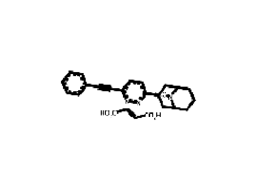 CN1C2CCCC1CC(c1ccc(C#Cc3ccccc3)nn1)C2.O=C(O)/C=C/C(=O)O